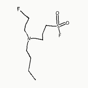 CCCCN(CCF)CCS(=O)(=O)F